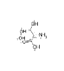 N[C@@H](CO)C(=O)O.OO